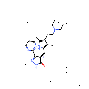 CCN(CC)CCc1c(C)[nH]c(/C=C2/C(=O)NN=C2c2ncccn2)c1C